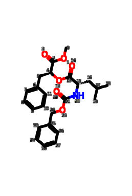 COC(=O)[C@H](Cc1ccccc1)OC(=O)[C@H](CC(C)C)NC(=O)OCc1ccccc1